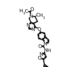 CC(=O)N1Cc2ncnc(Oc3ccc4c(ccn4C(=O)Nc4cc(C5CC5)on4)c3)c2C[C@@H]1C